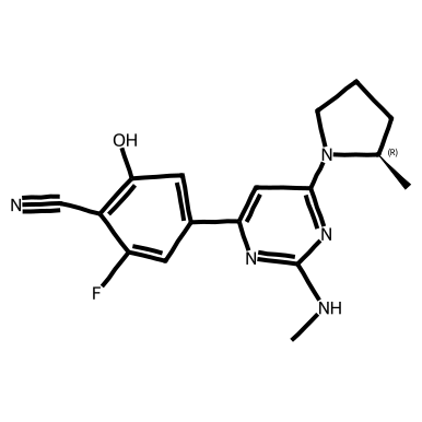 CNc1nc(-c2cc(O)c(C#N)c(F)c2)cc(N2CCC[C@H]2C)n1